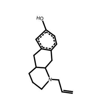 C=CCN1CCCC2Cc3cc(O)ccc3CC21